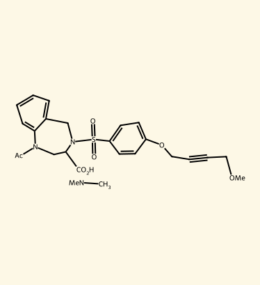 CNC.COCC#CCOc1ccc(S(=O)(=O)N2Cc3ccccc3N(C(C)=O)CC2C(=O)O)cc1